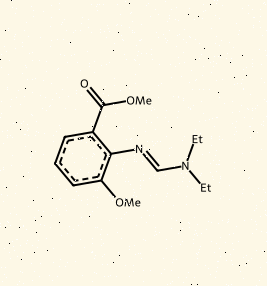 CCN(/C=N/c1c(OC)cccc1C(=O)OC)CC